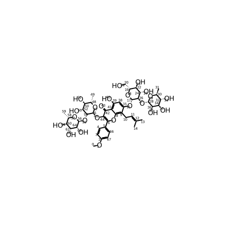 COc1ccc(-c2oc3c(CC=C(C)C)c(O[C@@H]4O[C@H](CO)[C@@H](O)[C@H](O)[C@H]4O[C@@H]4O[C@@H](C)[C@H](O)[C@@H](O)[C@H]4O)cc(O)c3c(=O)c2O[C@@H]2O[C@@H](C)[C@H](O)[C@@H](O)[C@H]2O[C@@H]2O[C@@H](C)[C@H](O)[C@@H](O)[C@H]2O)cc1